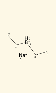 CC[BH2-]CC.[Na+]